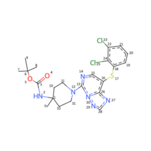 CC1(NC(=O)OC(C)(C)C)CCN(c2ncc(Sc3cccc(Cl)c3Cl)c3ncnn23)CC1